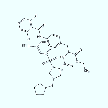 CCOC(=O)C(Cc1ccc(NC(=O)c2c(Cl)cncc2Cl)cc1)NC(=O)[C@@H]1CC(SC2CCCC2)CN1S(=O)(=O)c1cccc(C#N)c1